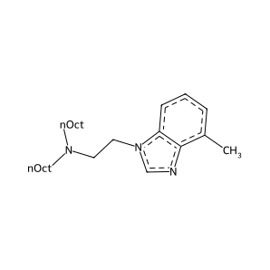 CCCCCCCCN(CCCCCCCC)CCn1cnc2c(C)cccc21